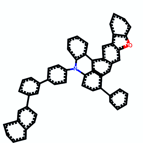 c1ccc(-c2ccc(N(c3ccc(-c4cccc(-c5ccc6ccccc6c5)c4)cc3)c3ccccc3-c3cccc4cc5oc6ccccc6c5cc34)cc2)cc1